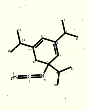 CC(C)C1=CC(N=C=N)(C(C)C)CC(C(C)C)=C1